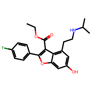 CCOC(=O)c1c(-c2ccc(F)cc2)oc2cc(O)cc(CCNC(C)C)c12